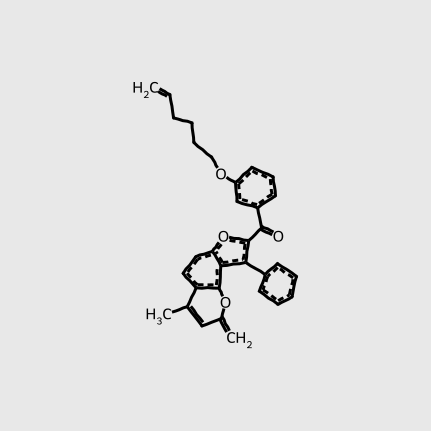 C=CCCCCOc1cccc(C(=O)c2oc3ccc4c(c3c2-c2ccccc2)OC(=C)C=C4C)c1